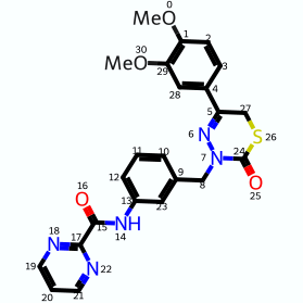 COc1ccc(C2=NN(Cc3cccc(NC(=O)c4ncccn4)c3)C(=O)SC2)cc1OC